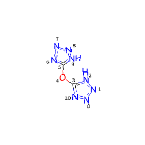 n1n[nH]c(Oc2nnn[nH]2)n1